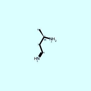 C[C@@H](N)CC=N